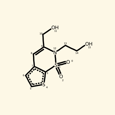 O=S1(=O)c2sccc2C=C(CO)N1CCO